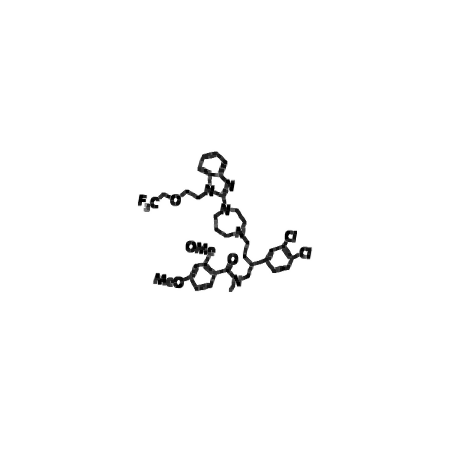 COc1ccc(C(=O)N(C)CC(CCN2CCCN(c3nc4ccccc4n3CCOCC(F)(F)F)CC2)c2ccc(Cl)c(Cl)c2)c(OC)c1